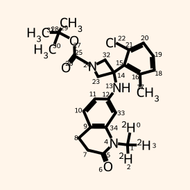 [2H]C([2H])([2H])N1C(=O)CCc2ccc(NC3(c4c(C)cccc4Cl)CN(C(=O)OC(C)(C)C)C3)cc21